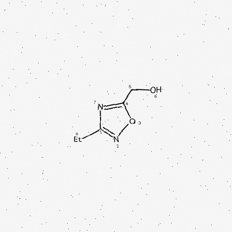 CCc1noc(CO)n1